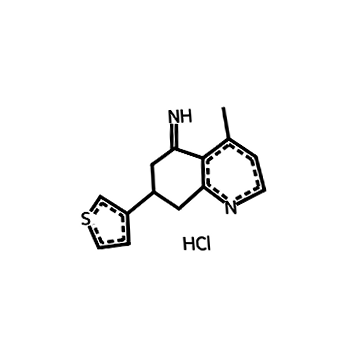 Cc1ccnc2c1C(=N)CC(c1ccsc1)C2.Cl